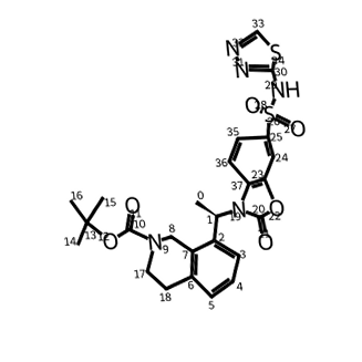 C[C@H](c1cccc2c1CN(C(=O)OC(C)(C)C)CC2)n1c(=O)oc2cc(S(=O)(=O)Nc3nncs3)ccc21